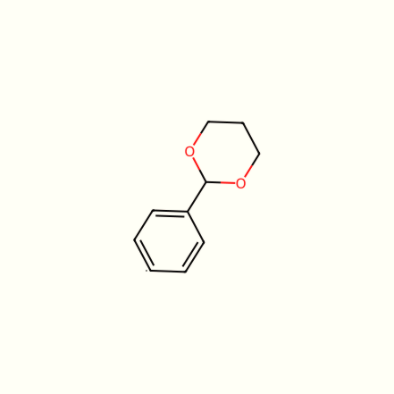 [c]1ccc(C2OCCCO2)cc1